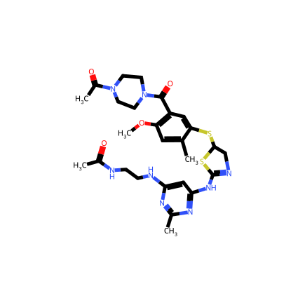 COc1cc(C)c(SC2CN=C(Nc3cc(NCCNC(C)=O)nc(C)n3)S2)cc1C(=O)N1CCN(C(C)=O)CC1